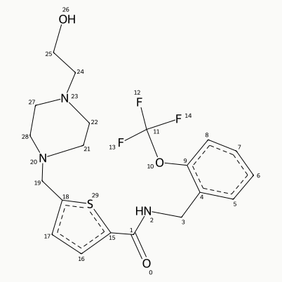 O=C(NCc1ccccc1OC(F)(F)F)c1ccc(CN2CCN(CCO)CC2)s1